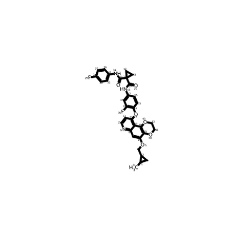 CC1CC1COc1cc2nccc(Oc3ccc(NC(=O)C4(C(=O)Nc5ccc(F)cc5)CC4)cc3F)c2c2c1OCCO2